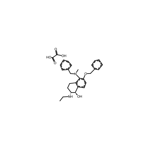 CCN[C@@H]1CCc2c(ccc(OCc3ccccc3)c2N(C)Cc2ccccc2)[C@H]1O.O=C(O)C(=O)O